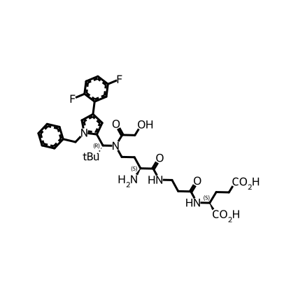 CC(C)(C)[C@H](c1cc(-c2cc(F)ccc2F)cn1Cc1ccccc1)N(CC[C@H](N)C(=O)NCCC(=O)N[C@@H](CCC(=O)O)C(=O)O)C(=O)CO